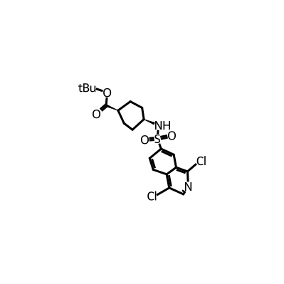 CC(C)(C)OC(=O)[C@H]1CC[C@@H](NS(=O)(=O)c2ccc3c(Cl)cnc(Cl)c3c2)CC1